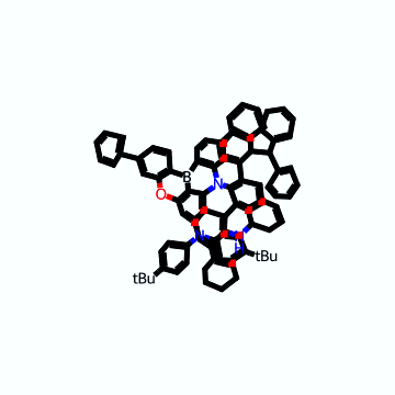 CC(C)(C)c1ccc(N(c2ccc(C(C)(C)C)cc2)c2cc3c4c(c2)N(c2c(C5=CCCC6C7CC=CC=C7C(c7ccccc7)C56)cccc2C2=C(NC5C=CC=CC5)C(C5=CCCCC5)=CCC2)c2cc(-c5ccccc5)ccc2B4c2ccc(-c4ccccc4)cc2O3)cc1